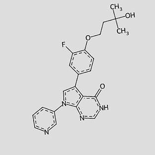 CC(C)(O)CCOc1ccc(-c2cn(-c3cccnc3)c3nc[nH]c(=O)c23)cc1F